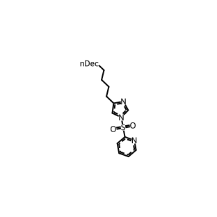 CCCCCCCCCCCCCCc1cn(S(=O)(=O)c2ccccn2)cn1